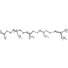 CC(C)=CCC/C(C)=C/CC/C(C)=C/CC/C(C)=C/CCC(=O)Cl